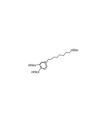 CCCCCCCCCCCCCCCCCC[n+]1ccc(CCCCCC)c(CCCCCC)c1